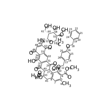 COC(=O)c1c(C)cc2c(c1OCc1ccc(OCc3ccccc3)cc1)[C@]1(O)C(=O)c3cc4c(c(O)c3C(=O)[C@]1(OC)[C@H](O)C2)C(=O)C=C(N[C@H]1O[C@@H](C)[C@H](OC)[C@@H](O)[C@H]1CO)C4=O